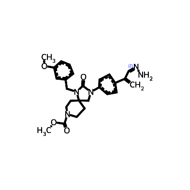 C=C(/C=N\N)c1ccc(N2CC3(CCN(C(=O)OC)CC3)N(Cc3cccc(OC)c3)C2=O)cc1